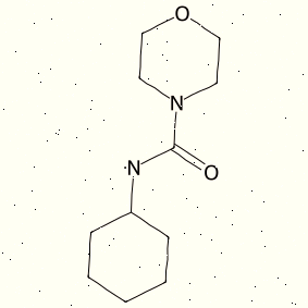 O=C([N]C1CCCCC1)N1CCOCC1